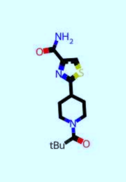 CC(C)(C)C(=O)N1CCC(c2nc(C(N)=O)cs2)CC1